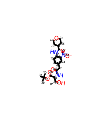 C[C@@H](O)[C@@H](NC(=O)Cc1ccc(NCC2CCOCC2)c([N+](=O)[O-])c1)C(=O)OC(C)(C)C